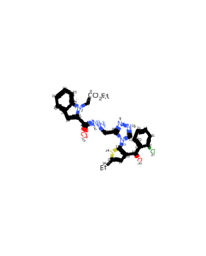 CCOC(=O)Cn1c(C(=O)NCc2nncn2-c2sc(CC)cc2C(=O)c2ccccc2Cl)cc2ccccc21